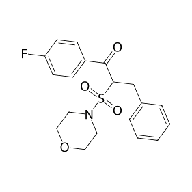 O=C(c1ccc(F)cc1)C(Cc1ccccc1)S(=O)(=O)N1CCOCC1